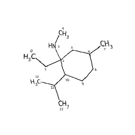 CCC1(NC)CC(C)CCC1C(C)C